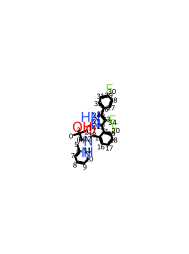 CC(C)(O)[C@@H](Cc1ccccn1)NC(=O)c1cccc(F)c1-c1n[nH]c(-c2ccc(F)cc2)c1F